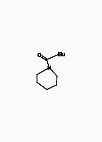 CCC(C)C(=O)N1CCCCC1